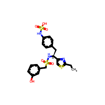 CCc1nc([C@H](Cc2ccc(NS(=O)(=O)O)cc2)NS(=O)(=O)Cc2cccc(O)c2)cs1